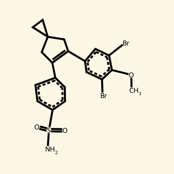 COc1c(Br)cc(C2=C(c3ccc(S(N)(=O)=O)cc3)CC3(CC3)C2)cc1Br